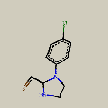 S=CC1NCCN1c1ccc(Cl)cc1